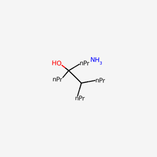 CCCC(CCC)C(O)(CCC)CCC.N